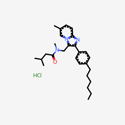 CCCCCCc1ccc(-c2nc3ccc(C)cn3c2CN(C)C(=O)CC(C)C)cc1.Cl